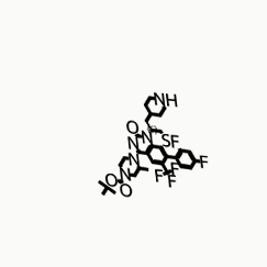 CC1CN(C(=O)OC(C)(C)C)CCN1c1nc(=O)n2c3c(c(-c4ccc(F)cc4F)c(C(F)(F)F)cc13)SC[C@@H]2CC1CCNCC1